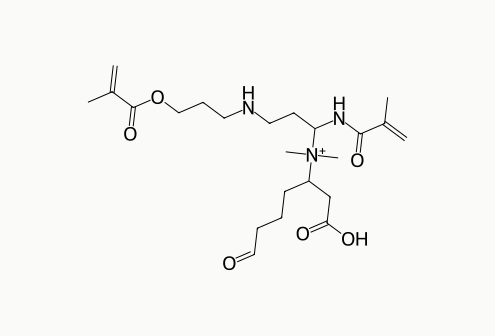 C=C(C)C(=O)NC(CCNCCCOC(=O)C(=C)C)[N+](C)(C)C(CCCC=O)CC(=O)O